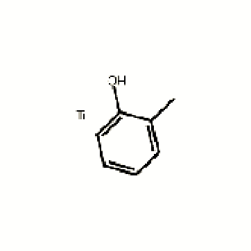 Cc1ccccc1O.[Ti]